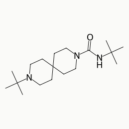 CC(C)(C)NC(=O)N1CCC2(CC1)CCN(C(C)(C)C)CC2